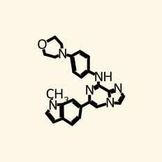 Cn1ccc2ccc(-c3cn4ccnc4c(Nc4ccc(N5CCOCC5)cc4)n3)cc21